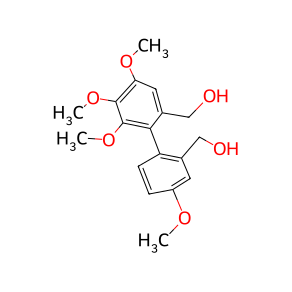 COc1ccc(-c2c(CO)cc(OC)c(OC)c2OC)c(CO)c1